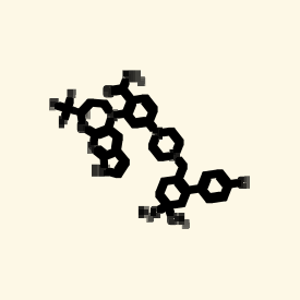 CC1(C)CCC(CN2CCN(c3ccc(C(N)=O)c(N4CC[C@H](C(F)(F)F)Oc5nc6[nH]ccc6cc54)c3)CC2)=C(c2ccc(Cl)cc2)C1